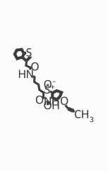 CC#CCOc1ccc([S+]([O-])C(CCCCNC(=O)Cc2csc3ccccc23)C(=O)NO)cc1